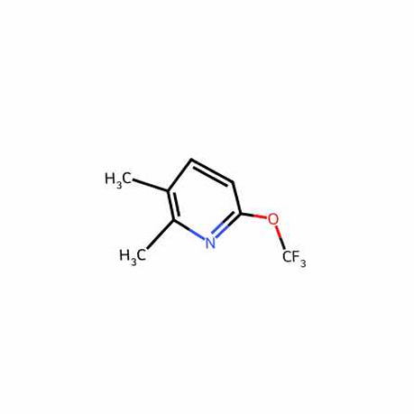 Cc1ccc(OC(F)(F)F)nc1C